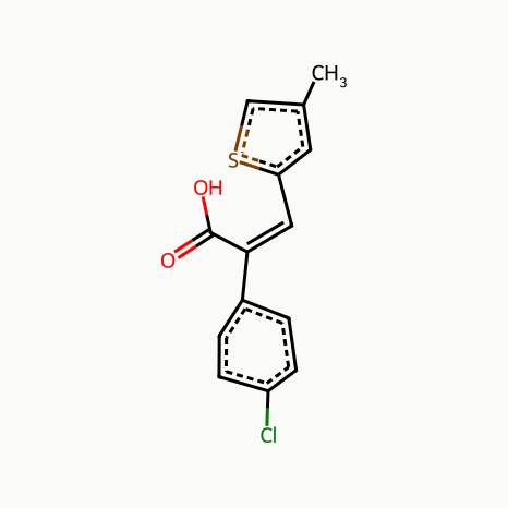 Cc1csc(C=C(C(=O)O)c2ccc(Cl)cc2)c1